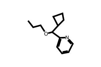 CCCOC(c1ccccn1)C1CCC1